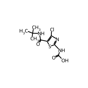 CC(C)(C)NC(=O)c1sc(NC(=O)O)nc1Cl